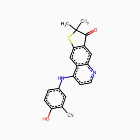 CC1(C)Sc2cc3c(Nc4ccc(O)c(C#N)c4)ccnc3cc2C1=O